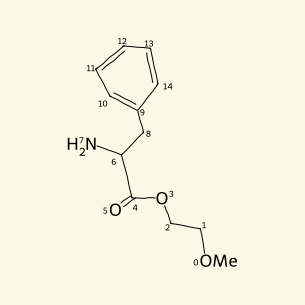 COCCOC(=O)C(N)Cc1ccccc1